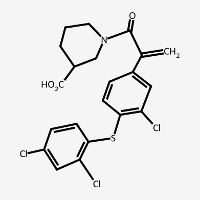 C=C(C(=O)N1CCCC(C(=O)O)C1)c1ccc(Sc2ccc(Cl)cc2Cl)c(Cl)c1